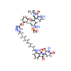 CCS(=O)(=O)Nc1ccc(Oc2cccc(OCc3cn(CCCCCCCCCCCNc4cccc5c4C(=O)N(C4CCC(=O)NC4=O)C5=O)nn3)c2)c(-c2cn(C)c(=O)c3[nH]ccc23)c1